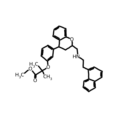 COC(=O)C(C)(C)Oc1cccc(C2CC(CNCCc3cccc4ccccc34)Oc3ccccc32)c1